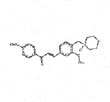 CCCCOc1cc(/C=C/C(=O)c2ccc(OC)cc2)ccc1C[N+]1([O-])CCOCC1